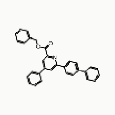 O=C(OCc1ccccc1)c1cc(-c2ccccc2)cc(-c2ccc(-c3ccccc3)cc2)n1